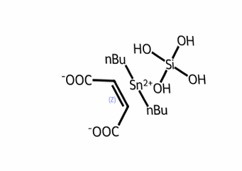 CCC[CH2][Sn+2][CH2]CCC.O=C([O-])/C=C\C(=O)[O-].O[Si](O)(O)O